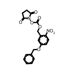 O=C(OCc1cc(OCc2ccccc2)ccc1[N+](=O)[O-])ON1C(=O)CCC1=O